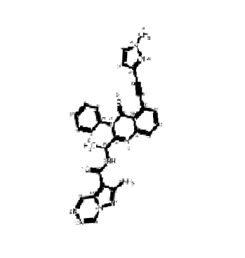 C[C@H](NC(=O)c1c(N)nn2cnncc12)c1nc2cccc(C#Cc3ccn(C)n3)c2c(=O)n1-c1ccccc1